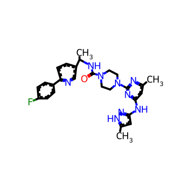 Cc1cc(Nc2cc(C)[nH]n2)nc(N2CCN(C(=O)NC(C)c3ccc(-c4ccc(F)cc4)nc3)CC2)n1